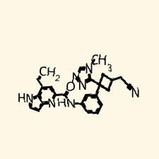 C=Cc1cc(C(=O)Nc2cccc(C3(c4nncn4C)CC(CC#N)C3)c2)nc2cc[nH]c12